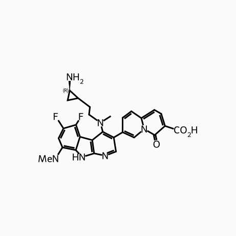 CNc1cc(F)c(F)c2c1[nH]c1ncc(-c3ccc4ccc(C(=O)O)c(=O)n4c3)c(N(C)CCC3C[C@H]3N)c12